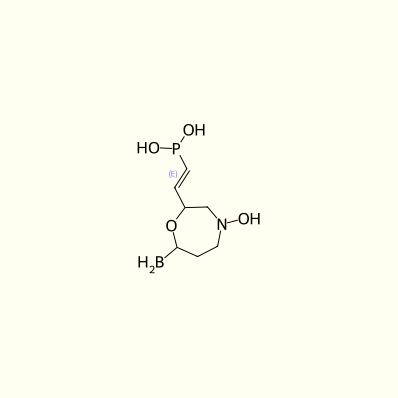 BC1CCN(O)CC(/C=C/P(O)O)O1